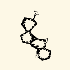 Clc1ccc2ccc3c4ncccc4oc3c2c1